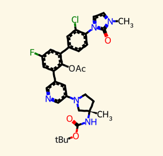 CC(=O)Oc1c(-c2cncc(N3CC[C@](C)(NC(=O)OC(C)(C)C)C3)c2)cc(F)cc1-c1ccc(-n2ccn(C)c2=O)c(Cl)c1